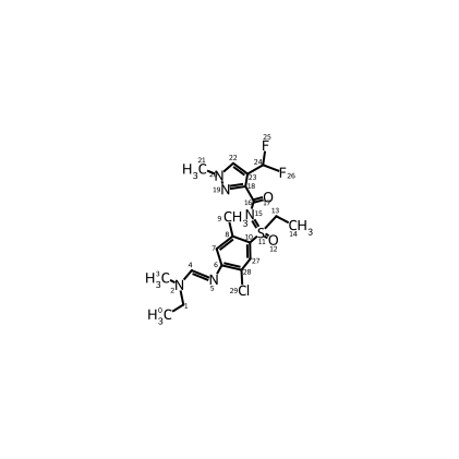 CCN(C)C=Nc1cc(C)c(S(=O)(CC)=NC(=O)c2nn(C)cc2C(F)F)cc1Cl